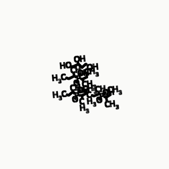 CCC(C)P(=O)(O)C(C)CC.CCC(C)P(=O)(O)C(C)CC.CCC(C)P(=O)(O)C(C)CC.OCCC(O)CO